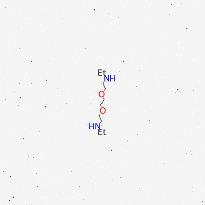 CCNCCOCCOCCNCC